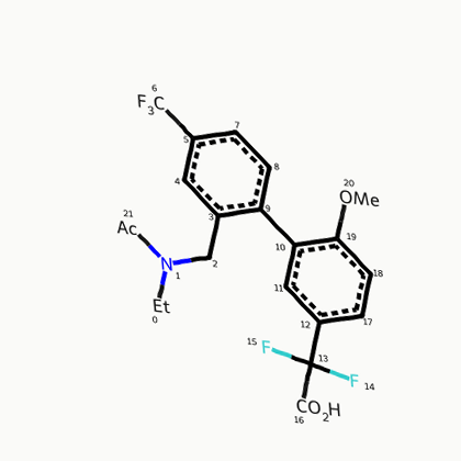 CCN(Cc1cc(C(F)(F)F)ccc1-c1cc(C(F)(F)C(=O)O)ccc1OC)C(C)=O